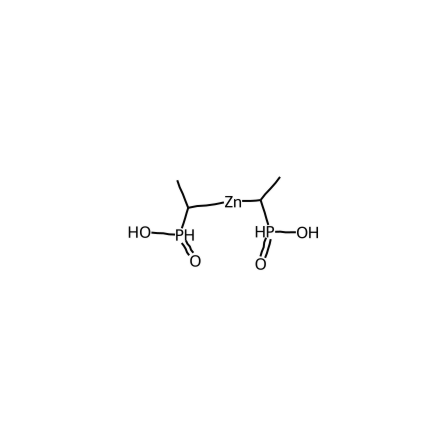 C[CH]([Zn][CH](C)[PH](=O)O)[PH](=O)O